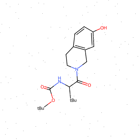 CC(C)(C)OC(=O)NC(C(=O)N1CCc2ccc(O)cc2C1)C(C)(C)C